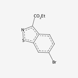 CCOC(=O)c1nsc2cc(Br)ccc12